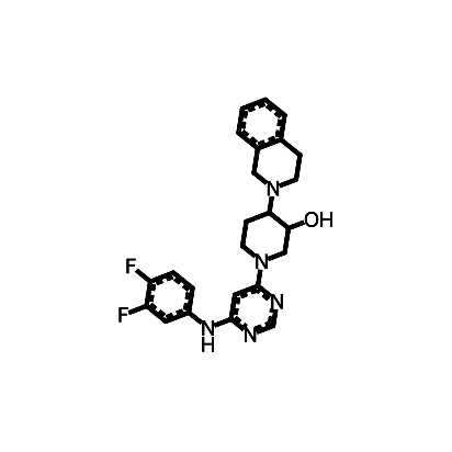 OC1CN(c2cc(Nc3ccc(F)c(F)c3)ncn2)CCC1N1CCc2ccccc2C1